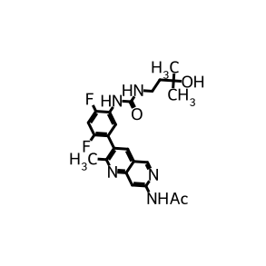 CC(=O)Nc1cc2nc(C)c(-c3cc(NC(=O)NCCC(C)(C)O)c(F)cc3F)cc2cn1